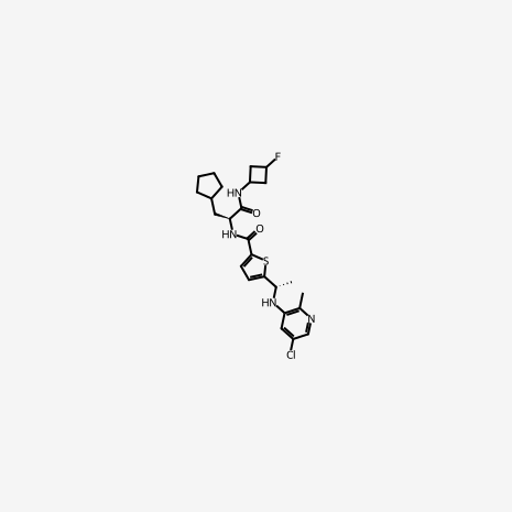 Cc1ncc(Cl)cc1N[C@@H](C)c1ccc(C(=O)N[C@@H](CC2CCCC2)C(=O)NC2CC(F)C2)s1